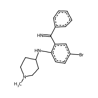 CN1CCC(Nc2ccc(Br)cc2C(=N)c2ccccc2)CC1